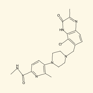 CNC(=O)c1ccc(N2CCN(Cc3ccc4nc(C)c(=O)[nH]c4c3Cl)CC2)c(C)n1